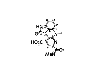 C=C(c1cc(C(=O)O)cc(C(=O)NC)n1)c1cccc2c1CC(=O)N2